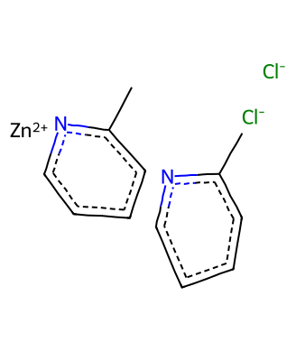 Cc1ccccn1.Cc1ccccn1.[Cl-].[Cl-].[Zn+2]